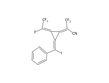 N#C/C(=C1/C(=C(F)C(F)(F)F)/C1=C(/I)c1ccccc1)C(F)(F)F